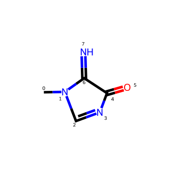 CN1C=NC(=O)C1=N